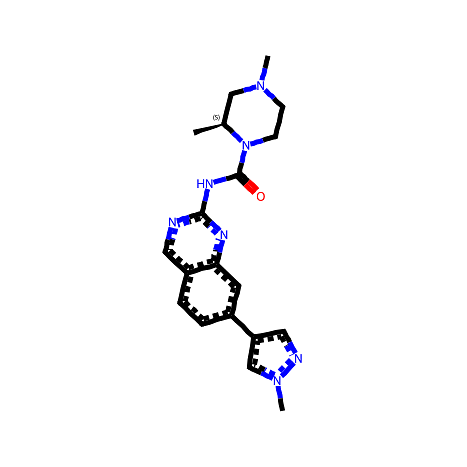 C[C@H]1CN(C)CCN1C(=O)Nc1ncc2ccc(-c3cnn(C)c3)cc2n1